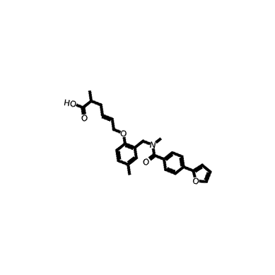 Cc1ccc(OCC=CCC(C)C(=O)O)c(CN(C)C(=O)c2ccc(-c3ccco3)cc2)c1